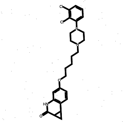 O=C1Nc2cc(OCCCCCN3CCN(c4cccc(Cl)c4Cl)CC3)ccc2C2CC12